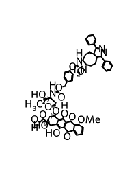 COc1cccc2c1C(=O)c1c(O)c3c(c(O)c1C2=O)C[C@@](O)(C(=O)CO)C[C@@H]3O[C@H]1CC(NC(=O)OCc2ccc(OC(=O)NC3CCC4C(c5ccccc5)=NN=C(c5ccccc5)C4CCC3N)cc2)[C@H](O)C(C)O1